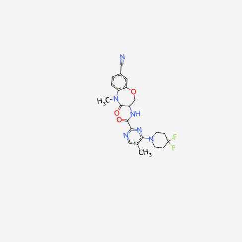 Cc1cnc(C(=O)NC2COc3cc(C#N)ccc3N(C)C2=O)nc1N1CCC(F)(F)CC1